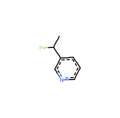 CC(F)c1cccnc1